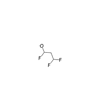 [O]C(F)CC(F)F